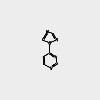 c1cc(-n2cncn2)ncn1